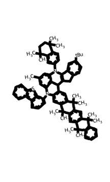 Cc1cc2c3c(c1)N(c1cccc4c1sc1ccccc14)c1cc4c(cc1C3C1=C(c3cc(C(C)(C)C)ccc3C1)N2c1ccc2c(c1)C(C)(C)CCC2(C)C)C(C)(C)c1cc2c(cc1C4(C)C)C(C)(C)c1ccccc1C2(C)C